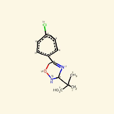 CC(C)(C(=O)O)C1N=C(c2ccc(Cl)cc2)ON1